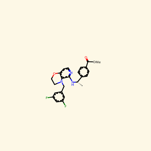 COC(=O)c1ccc([C@H](C)Nc2nccc3c2N(Cc2cc(F)cc(F)c2)CCO3)cc1